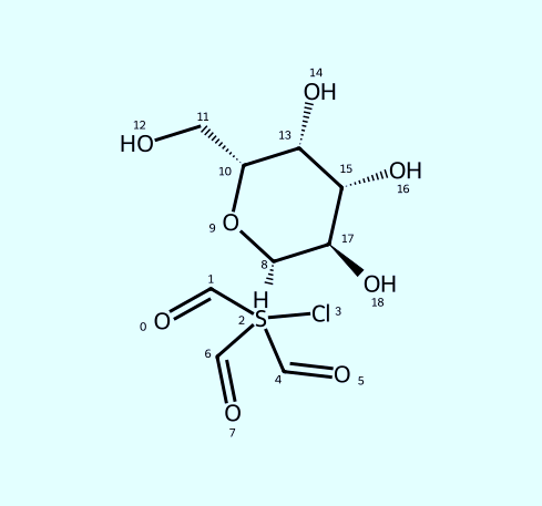 O=C[SH](Cl)(C=O)(C=O)[C@@H]1O[C@H](CO)[C@H](O)[C@H](O)[C@H]1O